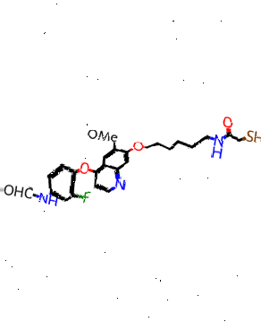 COc1cc2c(Oc3ccc(NC=O)cc3F)ccnc2cc1OCCCCCCNC(=O)CS